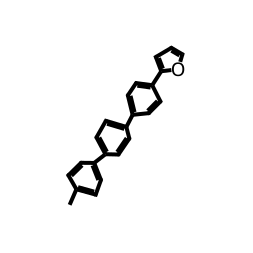 Cc1ccc(-c2ccc(-c3ccc(-c4ccco4)cc3)cc2)cc1